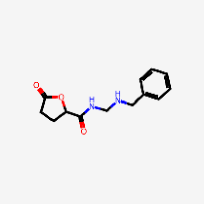 O=C1CCC(C(=O)NCNCc2ccccc2)O1